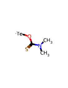 CN(C)C(=S)O[Te]